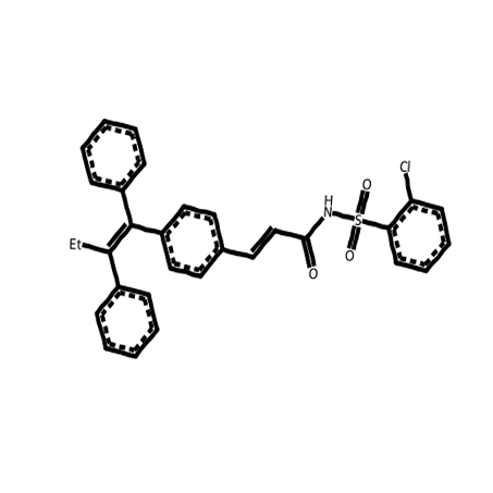 CC/C(=C(\c1ccccc1)c1ccc(/C=C/C(=O)NS(=O)(=O)c2ccccc2Cl)cc1)c1ccccc1